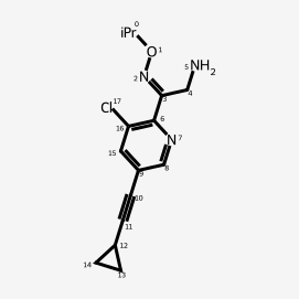 CC(C)ON=C(CN)c1ncc(C#CC2CC2)cc1Cl